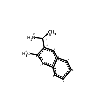 Cc1nc2ccccc2cc1[C@H](C)N